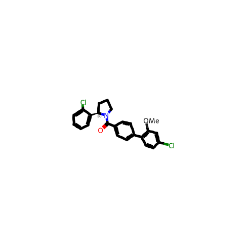 COc1cc(Cl)ccc1-c1ccc(C(=O)N2CCC[C@@H]2c2ccccc2Cl)cc1